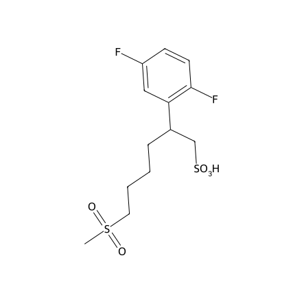 CS(=O)(=O)CCCCC(CS(=O)(=O)O)c1cc(F)ccc1F